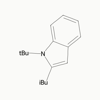 CCC(C)c1cc2ccccc2n1C(C)(C)C